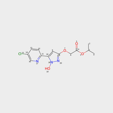 CC(C)OC(=O)COc1cc(-c2ccc(Cl)cn2)n(O)n1